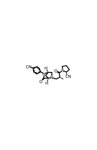 [C-]#[N+]c1ccc(N2C(=O)[C@@H]3C[C@H]2CN3C[C@H](C)C(=O)N2CCC[C@H]2C#N)cc1